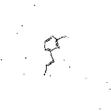 CC=Cc1ncnc(C)n1